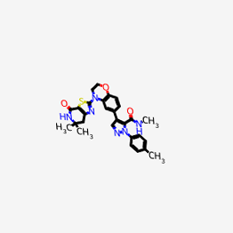 CNC(=O)c1c(-c2ccc3c(c2)N(c2nc4c(s2)C(=O)NC(C)(C)C4)CCO3)cnn1-c1ccc(C)cc1